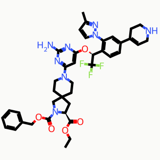 CCOC(=O)[C@@H]1CC2(CCN(c3cc(O[C@H](c4ccc(C5=CCNCC5)cc4-n4ccc(C)n4)C(F)(F)F)nc(N)n3)CC2)CN1C(=O)OCc1ccccc1